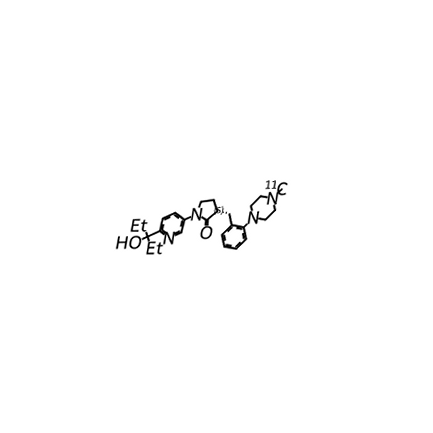 CCC(O)(CC)c1ccc(N2CC[C@H](Cc3ccccc3N3CCN([11CH3])CC3)C2=O)cn1